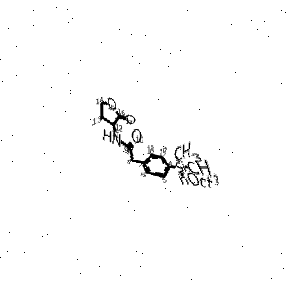 CCCCCCCC[Si](C)(C)c1ccc(CC(=O)NC2CCOC2=O)cc1